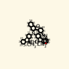 CC1(C)c2ccccc2-c2ccc(N(c3ccc4c(c3)C(C)(C)c3ccccc3-4)c3cc4ccccc4c4oc5ccc(-c6nc7ccccc7o6)cc5c34)cc21